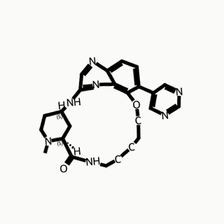 CN1CC[C@H]2C[C@H]1C(=O)NCCCCCOc1c(-c3cncnc3)ccc3ncc(nc13)N2